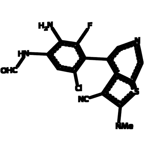 CNc1sc2cncc(-c3c(Cl)cc(NC=O)c(N)c3F)c2c1C#N